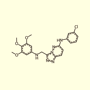 COc1cc(NCc2nnc3ccc(Nc4cccc(Cl)c4)nn23)cc(OC)c1OC